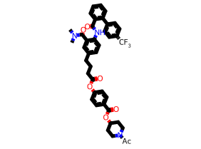 CC(=O)N1CCC(OC(=O)c2ccc(OC(=O)CCCc3ccc(NC(=O)c4ccccc4-c4ccc(C(F)(F)F)cc4)c(C(=O)N(C)C)c3)cc2)CC1